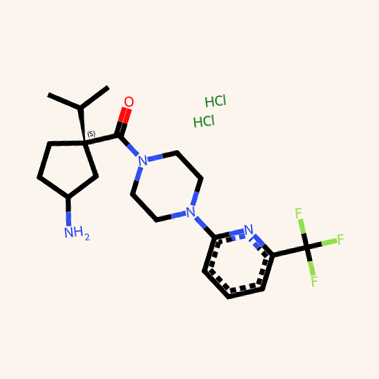 CC(C)[C@]1(C(=O)N2CCN(c3cccc(C(F)(F)F)n3)CC2)CCC(N)C1.Cl.Cl